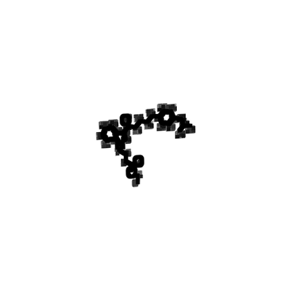 CCOC(=O)CCCn1cc(C(=O)CCCCc2ccc(CC(C)C)cc2)c2ccccc21